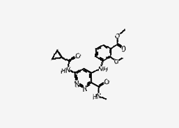 CNC(=O)c1nnc(NC(=O)C2CC2)cc1Nc1cccc(C(=O)OC)c1OC